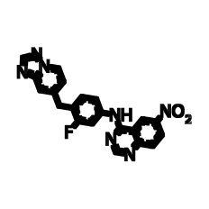 O=[N+]([O-])c1ccc2ncnc(Nc3ccc(Cc4ccn5ncnc5c4)c(F)c3)c2c1